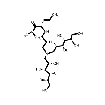 CCC[C@H](NCCCN(C[C@H](O)[C@@H](O)[C@H](O)[C@H](O)CO)C[C@H](O)[C@@H](O)[C@H](O)[C@H](O)CO)C(=O)N(C)C